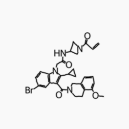 C=CC(=O)N1CC(NC(=O)Cn2c(C3CC3)c(C(=O)N3CCc4c(cccc4OC)C3)c3cc(Br)ccc32)C1